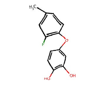 Cc1ccc(Oc2ccc(O)c(O)c2)c(F)c1